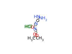 CC[C@H](C)OC(=O)CC1CCN(C(=O)C2CCN(c3ccc(C(=N)N)cc3)CC2)CC1.Cl.Cl